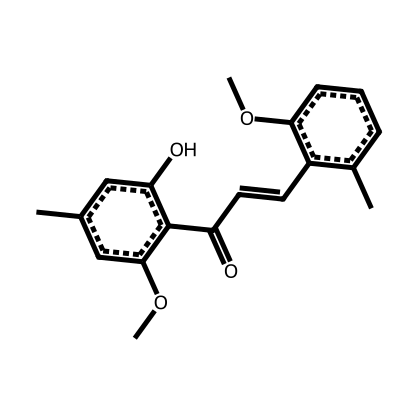 COc1cccc(C)c1/C=C/C(=O)c1c(O)cc(C)cc1OC